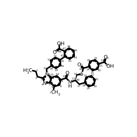 CCCc1nc2c(C)cc(C(=O)N[C@@H](CSC(=O)c3ccc(C(=O)O)cc3)Cc3ccccc3)cc2n1Cc1ccc(-c2ccccc2C(=O)O)cc1